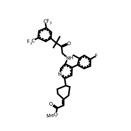 COC(=O)C=C1CCC(c2cc(-c3ccc(F)cc3C)c(NCC(=O)C(C)(C)c3cc(C(F)(F)F)cc(C(F)(F)F)c3)cn2)CC1